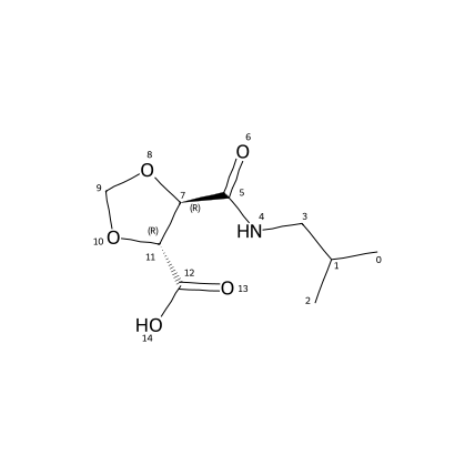 CC(C)CNC(=O)[C@@H]1OCO[C@H]1C(=O)O